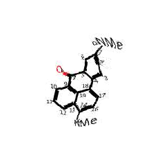 CNc1ccc2c(c1)C(=O)c1cccc3c(NC)ccc-2c13